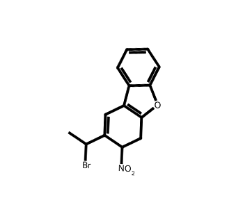 CC(Br)C1=Cc2c(oc3ccccc23)CC1[N+](=O)[O-]